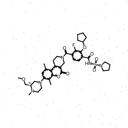 COC[C@H]1CN(c2cc(C)c3c4c(c(=O)oc3c2C)CN(C(=O)c2ccc(C(=O)NS(=O)(=O)N3CCCC3)c(OC3CCCC3)c2F)CC4)CCN1C